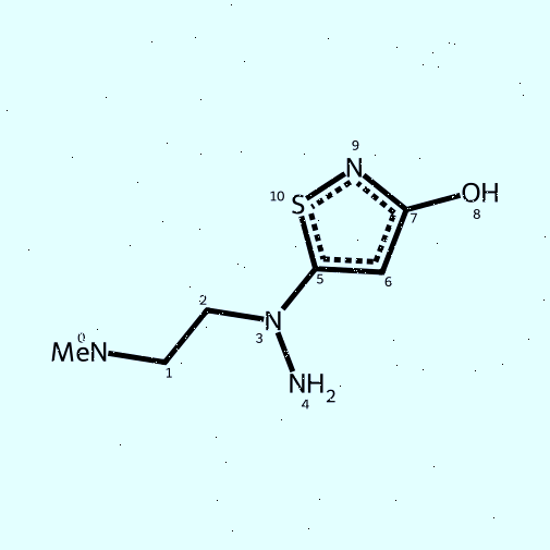 CNCCN(N)c1cc(O)ns1